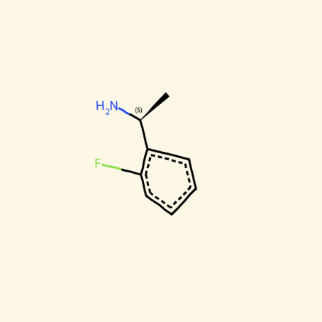 C[C@H](N)c1ccccc1F